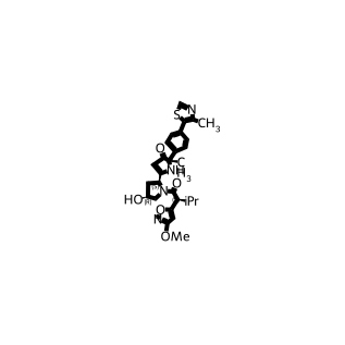 COc1cc([C@@H](C(=O)N2C[C@H](O)C[C@H]2C2=CC(=O)[C@](C)(c3ccc(-c4scnc4C)cc3)N2)C(C)C)on1